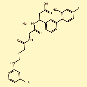 Cc1ccnc(NCCCC(=O)NCC(=O)NC(CC(=O)O)c2cccc(-c3ccc(F)cc3O)c2)c1.[Na]